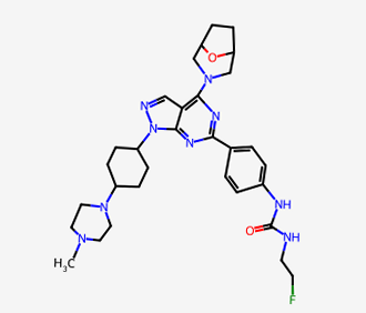 CN1CCN(C2CCC(n3ncc4c(N5CC6CCC(C5)O6)nc(-c5ccc(NC(=O)NCCF)cc5)nc43)CC2)CC1